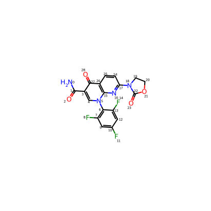 NC(=O)c1cn(-c2c(F)cc(F)cc2F)c2nc(N3CCOC3=O)ccc2c1=O